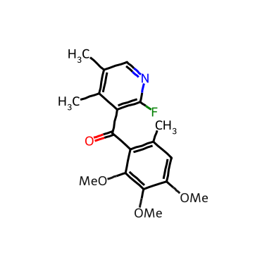 COc1cc(C)c(C(=O)c2c(F)ncc(C)c2C)c(OC)c1OC